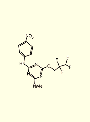 CNc1nc(Nc2ccc([N+](=O)[O-])cc2)nc(OCC(F)(F)C(F)F)n1